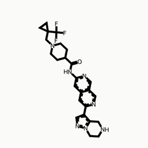 O=C(Nc1cc2cc(-c3cnn4c3CNCC4)ncc2cn1)C1CCN(CC2(C(F)(F)F)CC2)CC1